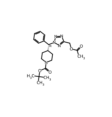 CC(=O)OCc1nnn([C@@H](c2ccccc2)C2CCN(C(=O)OC(C)(C)C)CC2)n1